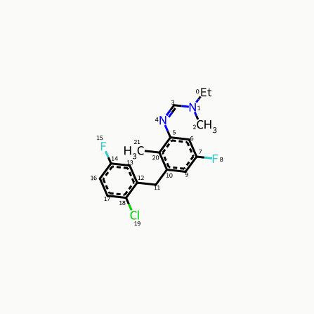 CCN(C)/C=N\c1cc(F)cc(Cc2cc(F)ccc2Cl)c1C